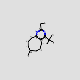 CCc1nc2c(c(C(C)(C)C)n1)CCCC(C)CCC2